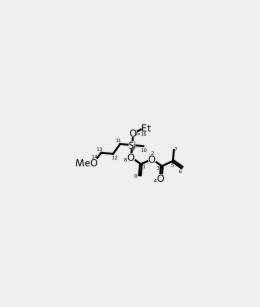 C=C(OC(=O)C(=C)C)O[Si](C)(CCCOC)OCC